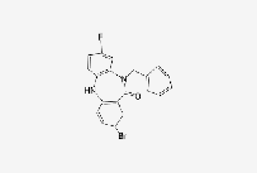 O=C1C2=C(C=CC(Br)C2)Nc2ccc(F)cc2N1Cc1ccccc1